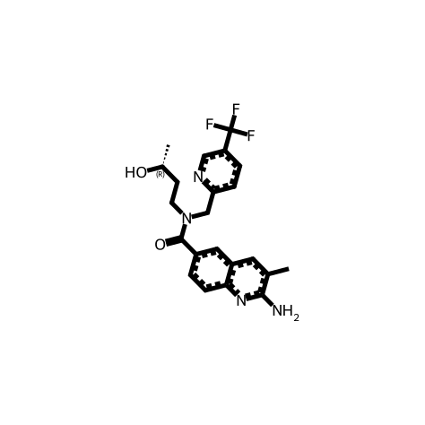 Cc1cc2cc(C(=O)N(CC[C@@H](C)O)Cc3ccc(C(F)(F)F)cn3)ccc2nc1N